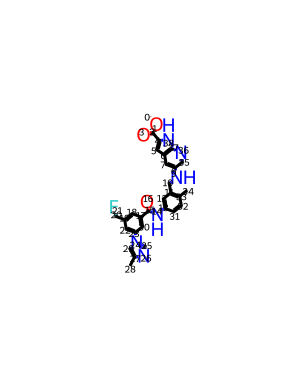 COC(=O)c1cc2cc(NCc3cc(NC(=O)c4cc(CF)cc(-n5cnc(C)c5)c4)ccc3C)cnc2[nH]1